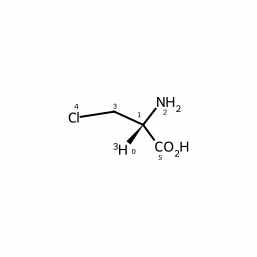 [3H][C@](N)(CCl)C(=O)O